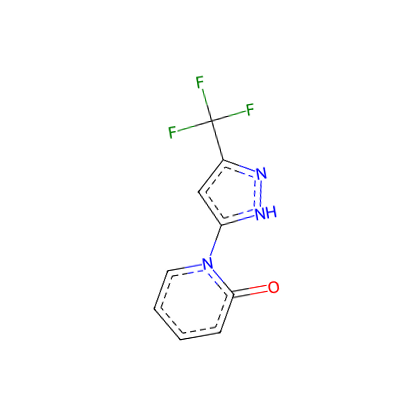 O=c1ccccn1-c1cc(C(F)(F)F)n[nH]1